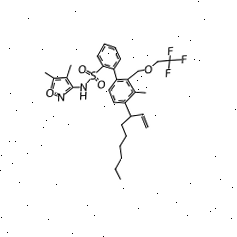 C=CC(CCCCCC)c1ccc(-c2ccccc2S(=O)(=O)Nc2noc(C)c2C)c(COCC(F)(F)F)c1C